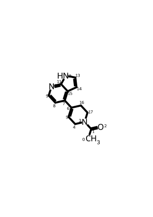 CC(=O)N1CC=C(c2ccnc3[nH]ccc23)CC1